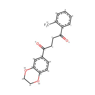 O=C(CCC(=O)c1ccccc1C(F)(F)F)c1ccc2c(c1)OCCO2